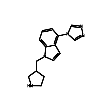 c1cc(-n2cnnc2)c2ccn(CC3CCNC3)c2c1